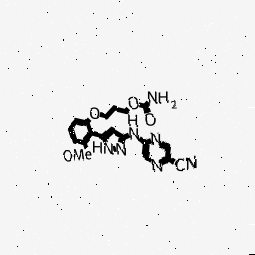 COc1cccc(OCCCOC(N)=O)c1-c1cc(Nc2cnc(C#N)cn2)n[nH]1